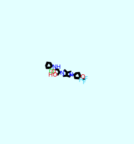 O=C(CC(CO)N1CC2=C(CN(c3ccc(OC(F)(F)F)cc3)C2)C1)Nc1ccccc1Cl